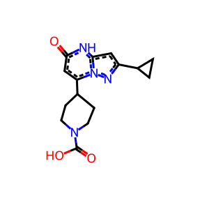 O=C(O)N1CCC(c2cc(=O)[nH]c3cc(C4CC4)nn23)CC1